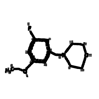 COc1cc(F)cc(N2CCOCC2)c1